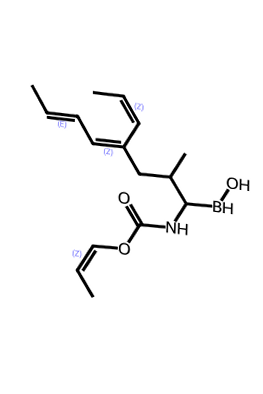 C/C=C\OC(=O)NC(BO)C(C)CC(/C=C\C)=C/C=C/C